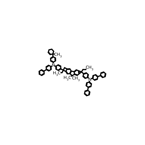 CCCC1(c2ccc(N(c3ccc(-c4ccccc4)cc3)c3ccc(-c4ccccc4)cc3)cc2)c2cc3c(cc21)C(C)(C)c1cc2c(cc1-3)CC2(CC)c1ccc(N(c2ccc(-c3ccccc3)cc2)c2ccc(C3(C)C=CCCC3)cc2)cc1